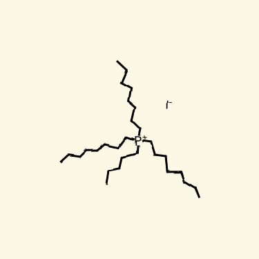 CCCCCCCC[P+](CCCCC)(CCCCCCCC)CCCCCCCC.[I-]